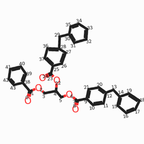 O=C(OCC(COC(=O)c1ccc(Cc2ccccc2)cc1)OC(=O)c1ccc(Cc2ccccc2)cc1)c1ccccc1